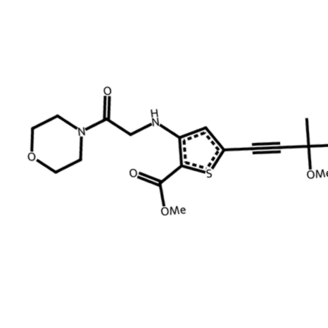 COC(=O)c1sc(C#CC(C)(C)OC)cc1NCC(=O)N1CCOCC1